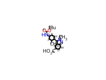 Cc1cc(NC(=O)OC(C)(C)C)ccc1-c1c2cc(C(=O)O)ccc2nn1C